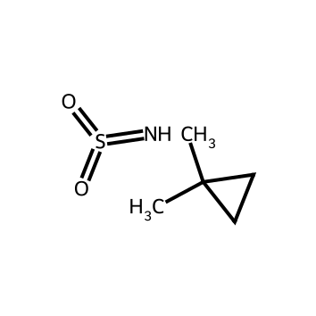 CC1(C)CC1.N=S(=O)=O